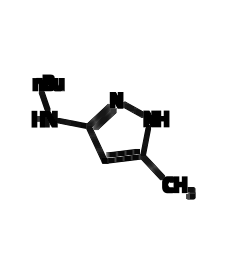 CCCCNc1cc(C)[nH]n1